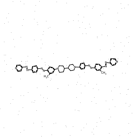 Cc1cc(N=Nc2ccc(N3CCC(C4CCN(c5ccc(N=Nc6ccc(N=Nc7ccncc7)cc6)c(C)c5)CC4)CC3)cc2)ccc1N=Nc1ccncc1